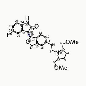 COC[C@@H]1CC[C@@H](COC)N1CCc1ccc2c(c1)CO/C2=C1/C(=O)Nc2ccc(F)cc21